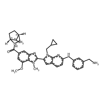 COc1cc(C(=O)N2C[C@H]3CC[C@@H]2[C@@H]3N)cc2nc(-c3cc4ccc(Nc5cccc(CN)c5)nc4n3CC3CC3)n(C)c12